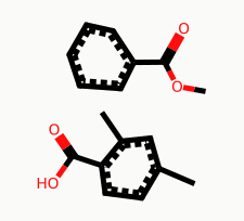 COC(=O)c1ccccc1.Cc1ccc(C(=O)O)c(C)c1